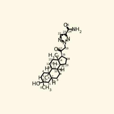 C[C@@]1(O)CC[C@@]2(C)[C@H](CC[C@@H]3[C@@H]2CC[C@]2(C)[C@@H](C(=O)Cn4ncc(C(N)=O)n4)CC[C@@H]32)C1